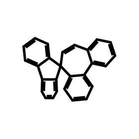 C1=CC2(c3ccccc3-c3ccccc31)c1ccccc1-c1ccccc12